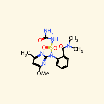 COc1cc(C)nc(N(c2ccccc2C(=O)N(C)C)S(=O)(=O)NC(N)=O)n1